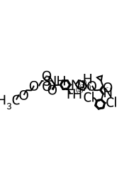 CCOCCOCCS(=O)(=O)NC(=O)c1ccc(N2C[C@@H]3C[C@H]2C[C@H]3OCc2c(-c3c(Cl)cccc3Cl)noc2C2CC2)c(F)c1